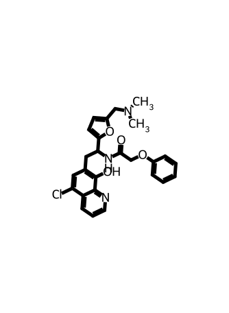 CN(C)Cc1ccc(C(Cc2cc(Cl)c3cccnc3c2O)NC(=O)COc2ccccc2)o1